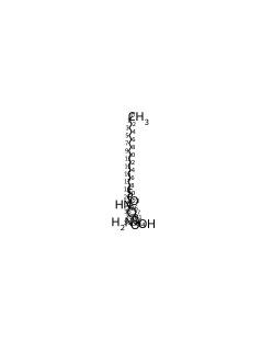 CCCCCCCCCCCCCCCCCCCCSCC(=O)NC1CCC(CN)(CC(=O)O)CC1